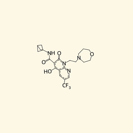 O=C(NC12CC(C1)C2)c1c(O)c2cc(C(F)(F)F)cnc2n(CCN2CCCOCC2)c1=O